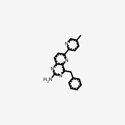 Cc1ccc(-c2ccc3nc(N)nc(Cc4ccccc4)c3n2)nc1